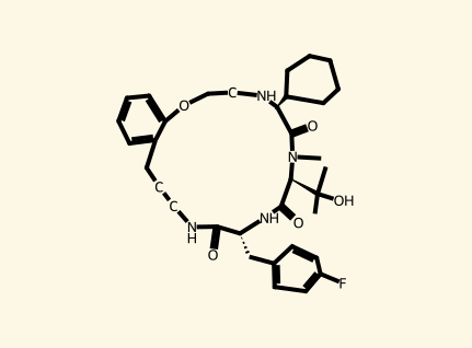 CN1C(=O)[C@H](C2CCCCC2)NCCOc2ccccc2CCCNC(=O)[C@@H](Cc2ccc(F)cc2)NC(=O)[C@@H]1C(C)(C)O